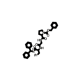 CC(C)CC(NC(=O)CNC(=O)C1CCCN1C(=O)OCc1ccccc1)C(=O)NC(c1ccccc1)c1ccccc1